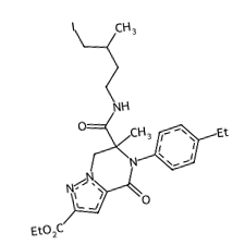 CCOC(=O)c1cc2n(n1)CC(C)(C(=O)NCCC(C)CI)N(c1ccc(CC)cc1)C2=O